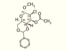 CO[C@H]1O[C@@H]2COC(c3ccccc3)O[C@H]2[C@H](OC(C)=O)[C@@H]1Cl